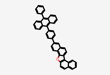 c1ccc(-c2c3ccccc3c(-c3ccc(-c4ccc5c(ccc6c5oc5ccc7ccccc7c56)c4)cc3)c3ccccc23)cc1